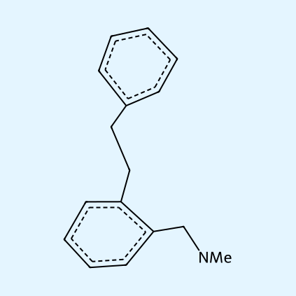 CNCc1ccccc1CCc1ccccc1